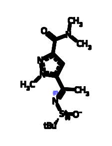 C/C(=N\[S@+]([O-])C(C)(C)C)c1cc(C(=O)N(C)C)nn1C